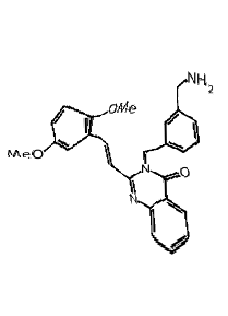 COc1ccc(OC)c(C=Cc2nc3ccccc3c(=O)n2Cc2cccc(CN)c2)c1